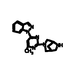 Cc1cc(-n2ncc3ccccc32)nc(N2CC3CNC(C3)C2)n1